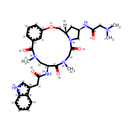 CN(C)CC(=O)N[C@@H]1C[C@H]2COc3cccc(c3)C(=O)N(C)C[C@H](NC(=O)Cc3c[nH]c4ccccc34)C(=O)N(C)CC(=O)N2C1